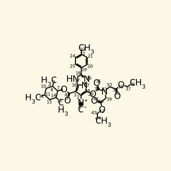 [C-]#[N+]c1c(C(=O)OC2C(C)CC(C)CC2C)c2[nH]c(-c3ccc(C)cc3)nn2c1OC(=O)N(CC(=O)OCC)CC(=O)OCC